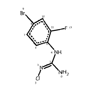 NC(=NCl)Nc1ccc(Br)cc1F